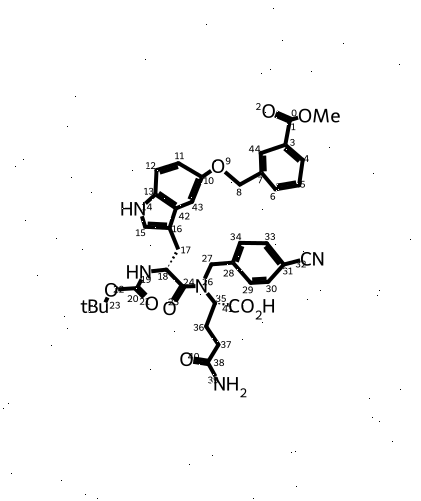 COC(=O)c1cccc(COc2ccc3[nH]cc(C[C@@H](NC(=O)OC(C)(C)C)C(=O)N(Cc4ccc(C#N)cc4)[C@@H](CCC(N)=O)C(=O)O)c3c2)c1